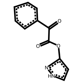 O=C(Oc1cc[nH]n1)C(=O)c1ccccc1